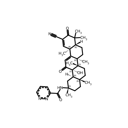 CC1(C)C(=O)C(C#N)=C[C@]2(C)C3=CC(=O)[C@]4(O)[C@@H]5C[C@@](C)(NC(=O)c6cccnn6)CC[C@@]5(C)CC[C@@]4(C)[C@]3(C)CC[C@@H]12